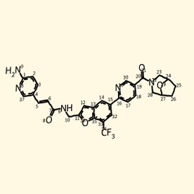 Nc1ccc(C=CC(=O)NCc2cc3cc(-c4ccc(C(=O)N5CC6CCC(C5)O6)cn4)cc(C(F)(F)F)c3o2)cn1